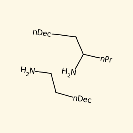 CCCCCCCCCCCCN.[CH2]CCC(N)CCCCCCCCCCC